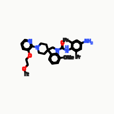 CCOCCOc1cccnc1N1CCC(CNC(=O)Nc2c(C(C)C)cc(N)cc2C(C)C)(c2cccc(OC)c2)CC1